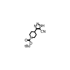 CC(C)(C)OC(=O)N1CCC(c2nn[nH]c2C#N)CC1